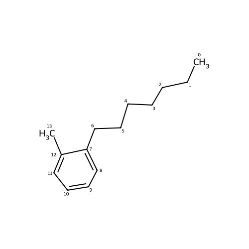 CCCCCCCc1ccccc1C